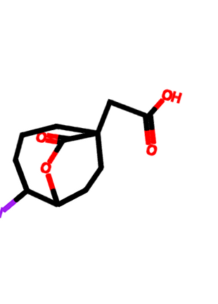 O=C(O)CC12CCCC(I)C(CC1)OC2=O